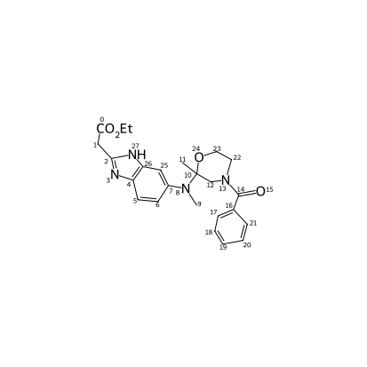 CCOC(=O)Cc1nc2ccc(N(C)C3(C)CN(C(=O)c4ccccc4)CCO3)cc2[nH]1